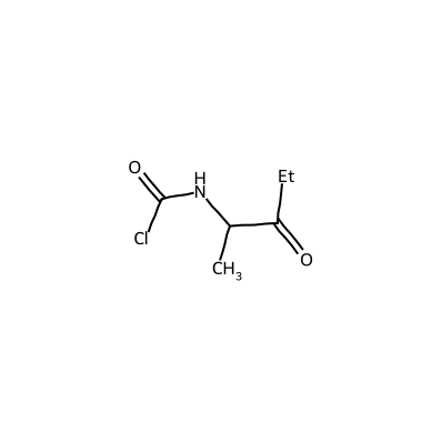 CCC(=O)C(C)NC(=O)Cl